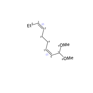 CC/C=C\CC/C=C\C(OC)OC